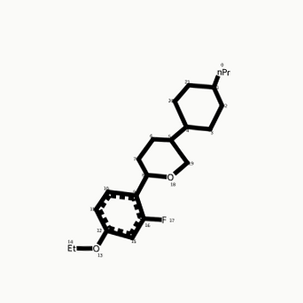 CCCC1CCC(C2CCC(c3ccc(OCC)cc3F)OC2)CC1